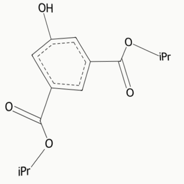 CC(C)OC(=O)c1cc(O)cc(C(=O)OC(C)C)c1